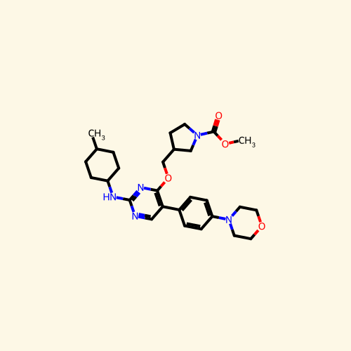 COC(=O)N1CCC(COc2nc(NC3CCC(C)CC3)ncc2-c2ccc(N3CCOCC3)cc2)C1